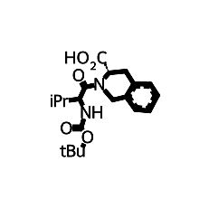 CC(C)C(NC(=O)OC(C)(C)C)C(=O)N1Cc2ccccc2C[C@H]1C(=O)O